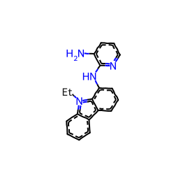 CCn1c2ccccc2c2cccc(Nc3ncccc3N)c21